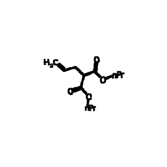 C=CCC(C(=O)OCCC)C(=O)OCCC